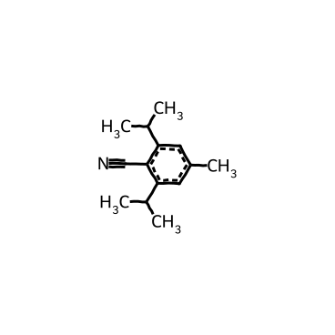 Cc1cc(C(C)C)c(C#N)c(C(C)C)c1